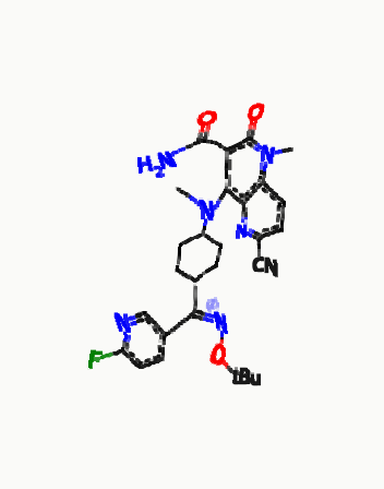 CN(c1c(C(N)=O)c(=O)n(C)c2ccc(C#N)nc12)C1CCC(/C(=N/OC(C)(C)C)c2ccc(F)nc2)CC1